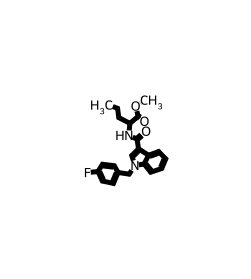 CCCC(NC(=O)c1cn(Cc2ccc(F)cc2)c2ccccc12)C(=O)OC